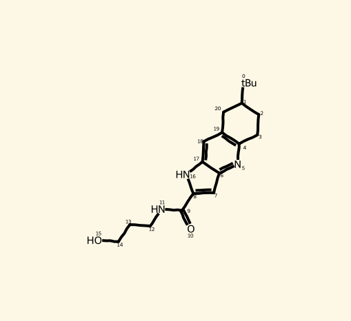 CC(C)(C)C1CCc2nc3cc(C(=O)NCCCO)[nH]c3cc2C1